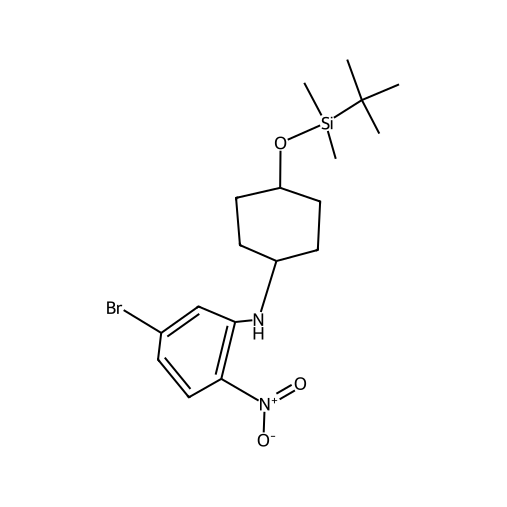 CC(C)(C)[Si](C)(C)OC1CCC(Nc2cc(Br)ccc2[N+](=O)[O-])CC1